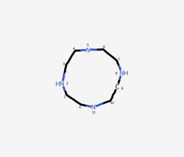 C1CNCC[N]CCNCC[N]1